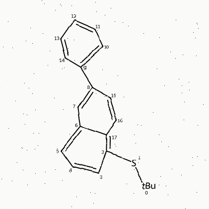 CC(C)(C)Sc1cccc2cc(-c3ccccc3)ccc12